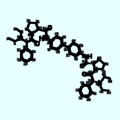 CCN(CC)[C@@H](C(=O)N1CCC[C@H]1C(=O)Nc1ccc(-c2ccc(NC(=O)[C@@H]3CCCN3C(=O)[C@@H](c3ccccc3)N(CC)CC)cc2)cc1)c1ccccc1